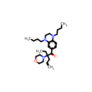 C=CCC(CC)(C(=O)c1ccc2c(c1)N(CCCC)CCN2CCCC)N1CCOCC1